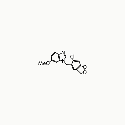 COc1ccc2ncn(Cc3cc4c(cc3Cl)OOC4)c2c1